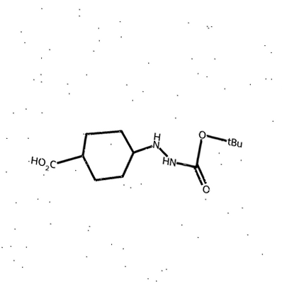 CC(C)(C)OC(=O)NNC1CCC(C(=O)O)CC1